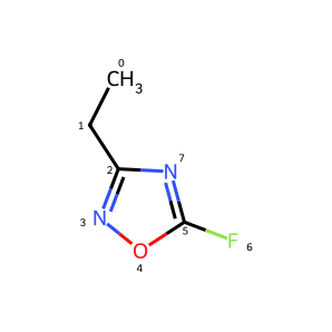 CCc1noc(F)n1